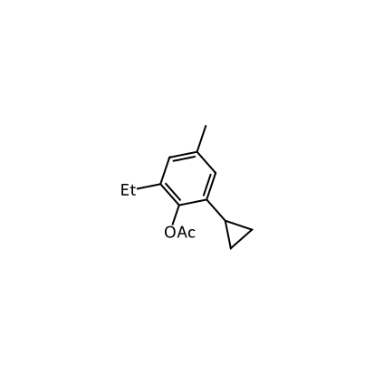 CCc1cc(C)cc(C2CC2)c1OC(C)=O